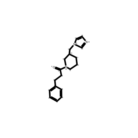 O=C(CCc1ccccc1)N1CCCC(Cn2ccnc2)C1